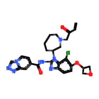 C=CC(=O)CN1CCCCC(n2c(NC(=O)c3ccn4cnnc4c3)nc3ccc(OC4COC4)c(Cl)c32)C1